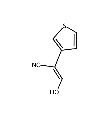 N#C/C(=C\O)c1ccsc1